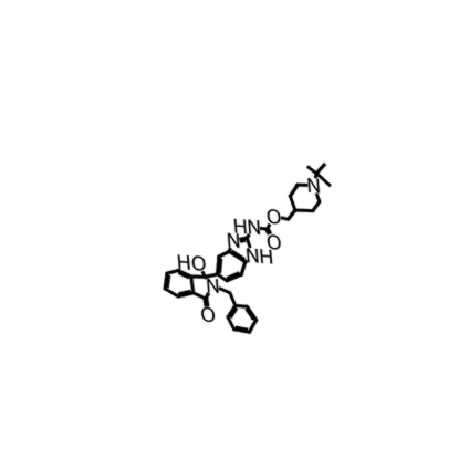 CC(C)(C)N1CCC(COC(=O)Nc2nc3cc(C4(O)c5ccccc5C(=O)N4Cc4ccccc4)ccc3[nH]2)CC1